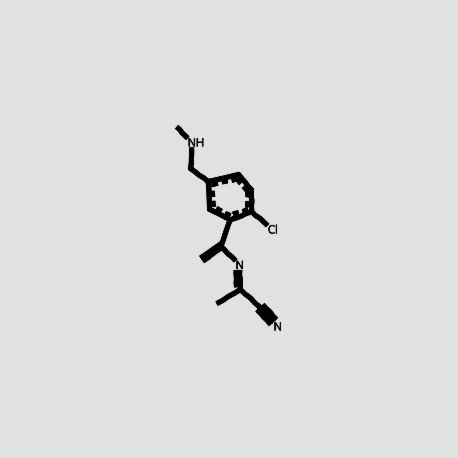 C=C(/N=C(\C)C#N)c1cc(CNC)ccc1Cl